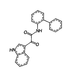 O=C(Nc1ccccc1-c1ccccc1)C(=O)c1c[nH]c2ccccc12